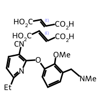 CCc1ccc(C#N)c(Oc2cccc(CNC)c2OC)n1.O=C(O)/C=C/C(=O)O.O=C(O)/C=C/C(=O)O